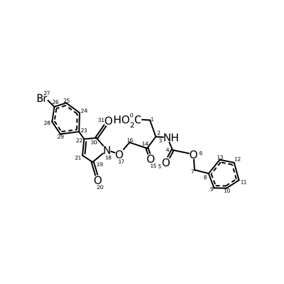 O=C(O)CC(NC(=O)OCc1ccccc1)C(=O)CON1C(=O)C=C(c2ccc(Br)cc2)C1=O